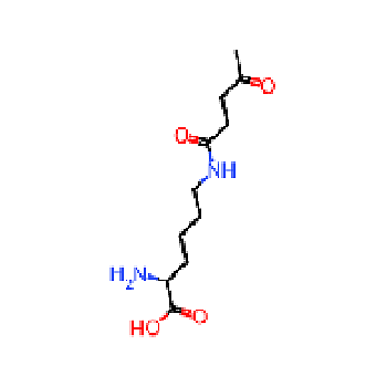 CC(=O)CCC(=O)NCCCC[C@H](N)C(=O)O